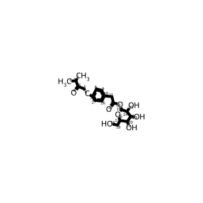 CC(C)C(=O)CCc1ccc(CC(=O)OC2OC(CO)C(O)C(O)C2O)cc1